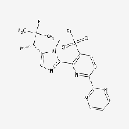 CCS(=O)(=O)c1ccc(-c2ncccn2)nc1-c1ncc([C@H](F)C(F)(C(F)(F)F)C(F)(F)F)n1C